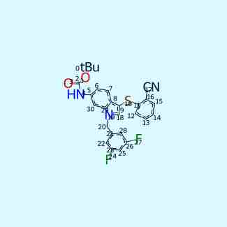 CC(C)(C)OC(=O)Nc1ccc2c(Sc3ccccc3C#N)cn(Cc3cc(F)cc(F)c3)c2c1